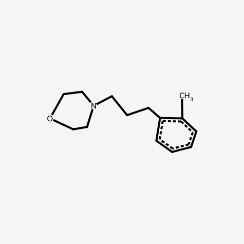 Cc1ccccc1CCCN1CCOCC1